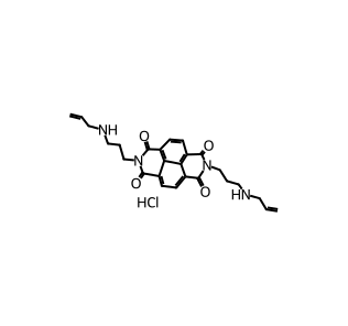 C=CCNCCCN1C(=O)c2ccc3c4c(ccc(c24)C1=O)C(=O)N(CCCNCC=C)C3=O.Cl